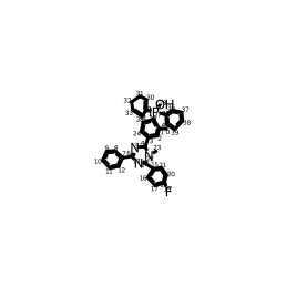 Cc1cc(C2N=C(c3ccccc3)N=C(c3ccc(F)cc3)N2C)ccc1[PH](O)(C1=CCCC=C1)c1ccccc1